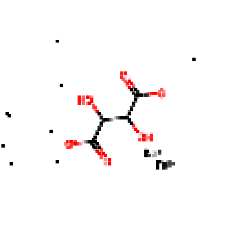 O=C([O-])C(O)C(O)C(=O)[O-].[Fe+2].[Na+]